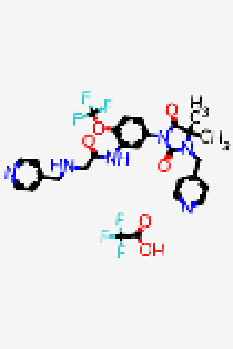 CC1(C)C(=O)N(c2ccc(OC(F)(F)F)c(NC(=O)CNCc3ccncc3)c2)C(=O)N1Cc1ccncc1.O=C(O)C(F)(F)F